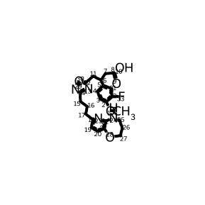 COc1ccc(C(CC(=O)O)Cc2nc(CCCc3ccc4c(n3)NCCCO4)no2)cc1F